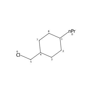 CCCC1CCC(CCl)CC1